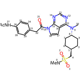 CNS(=O)(=O)C[C@H]1CC[C@H](N(C)c2ncnc3c2ccn3C(=O)Cc2ccc(NC(C)=O)cc2)CC1